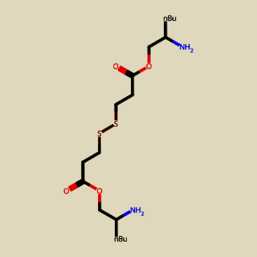 CCCCC(N)COC(=O)CCSSCCC(=O)OCC(N)CCCC